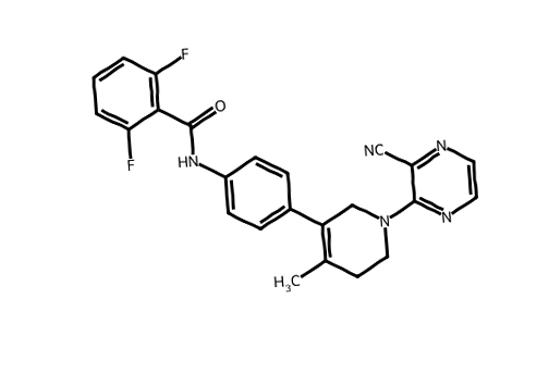 CC1=C(c2ccc(NC(=O)c3c(F)cccc3F)cc2)CN(c2nccnc2C#N)CC1